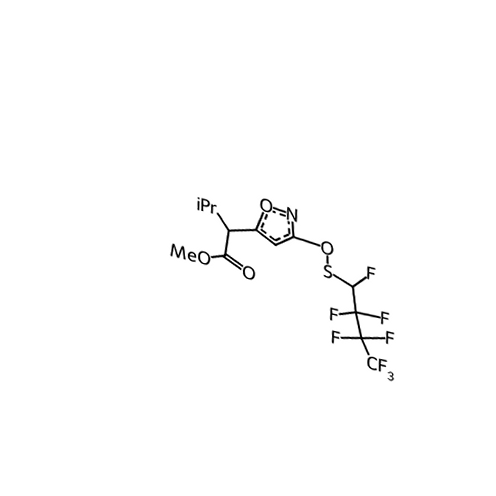 COC(=O)C(c1cc(OSC(F)C(F)(F)C(F)(F)C(F)(F)F)no1)C(C)C